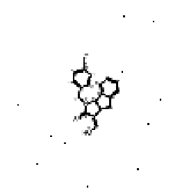 O=C1C(=CO)C2Cc3ccccc3C2N1Cc1ccc(F)cc1